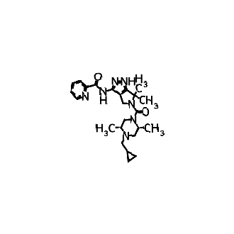 C[C@H]1CN(C(=O)N2Cc3c(NC(=O)c4ccccn4)n[nH]c3C2(C)C)[C@@H](C)CN1CC1CC1